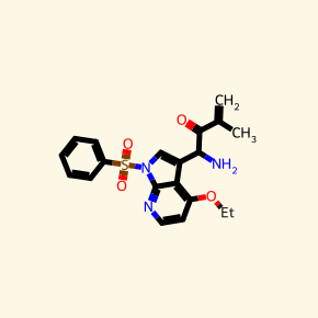 C=C(C)C(=O)C(N)c1cn(S(=O)(=O)c2ccccc2)c2nccc(OCC)c12